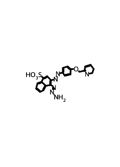 NN=Nc1c(/N=N/c2ccc(OCC3=NCCC=C3)cc2)cc(S(=O)(=O)O)c2ccccc12